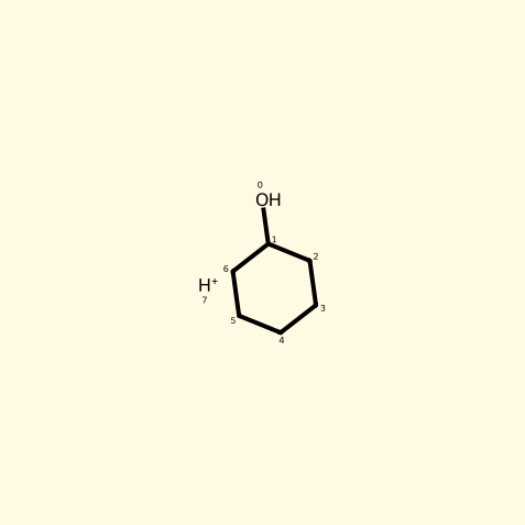 OC1CCCCC1.[H+]